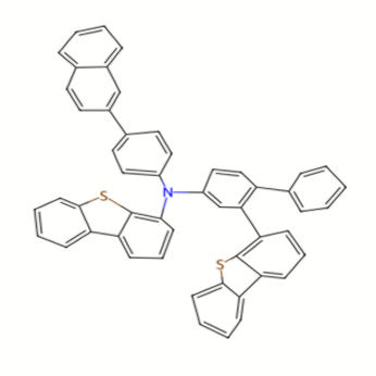 c1ccc(-c2ccc(N(c3ccc(-c4ccc5ccccc5c4)cc3)c3cccc4c3sc3ccccc34)cc2-c2cccc3c2sc2ccccc23)cc1